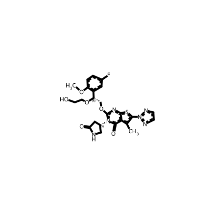 COc1ccc(F)cc1[C@H](COc1nc2sc(-n3nccn3)c(C)c2c(=O)n1[C@@H]1CNC(=O)C1)OCCO